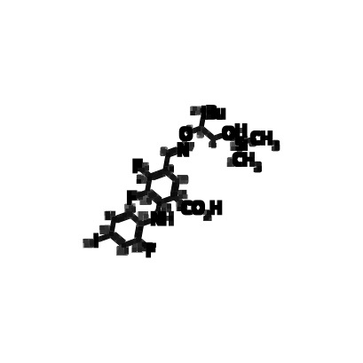 C[SiH](C)OCC(ON=Cc1cc(C(=O)O)c(Nc2ccc(I)cc2F)c(F)c1F)C(C)(C)C